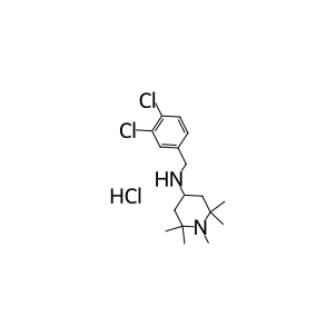 CN1C(C)(C)CC(NCc2ccc(Cl)c(Cl)c2)CC1(C)C.Cl